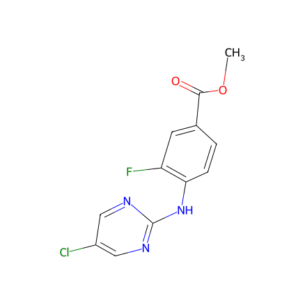 COC(=O)c1ccc(Nc2ncc(Cl)cn2)c(F)c1